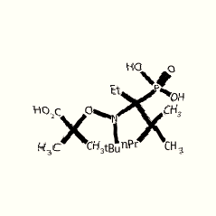 CCCC(C)(C)C(CC)(N(OC(C)(C)C(=O)O)C(C)(C)C)P(=O)(O)O